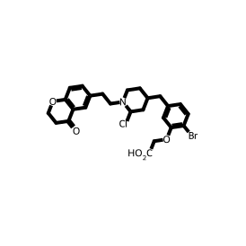 O=C(O)COc1cc(CC2CCN(CCc3ccc4c(c3)C(=O)CCO4)C(Cl)C2)ccc1Br